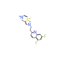 CN1C=CS2(C)CN(CCc3ccc4c(F)cc(F)cc4n3)C=C2C1